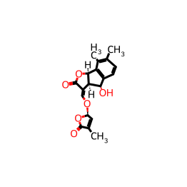 CC1=C[C@H](O/C=C2/C(=O)O[C@H]3c4c(ccc(C)c4C)[C@H](O)[C@@H]23)OC1=O